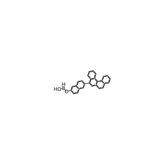 OBOc1ccc2cc(-c3cc4ccc5ccccc5c4c4ccccc34)ccc2c1